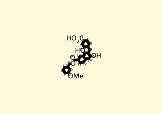 COc1cccc(COC(=O)c2ccc3cc(O)c(Cc4ccc(C(=O)O)cc4)c(O)c3c2)c1